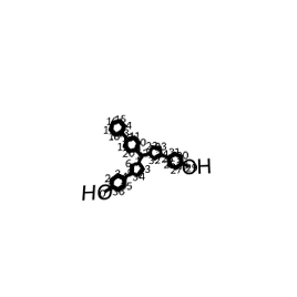 Oc1ccc(C2=CC(C(c3ccc(-c4ccccc4)cc3)C3C=CC(c4ccc(O)cc4)=C3)C=C2)cc1